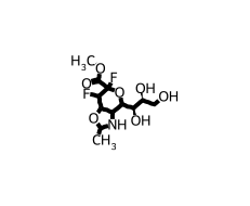 COC(=O)C1(F)OC([C@H](O)[C@H](O)CO)C2NC(C)OC2C1F